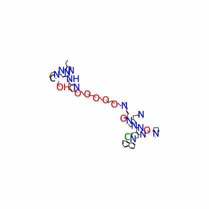 CCc1cnn2c(NCc3ccc(OCCOCCOCCOCCOCCN(C)C/C=C/C(=O)N4CCN(c5nc(OC[C@@H]6CCCN6C)nc6c5CCN(c5cccc7cccc(Cl)c57)C6)C[C@@H]4CC#N)nc3)cc(N3CCCC[C@H]3CCO)nc12